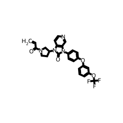 C=CC(=O)N1CCC(n2c(=O)n(-c3ccc(Oc4cccc(OC(F)(F)F)c4)cc3)c3cnccc32)C1